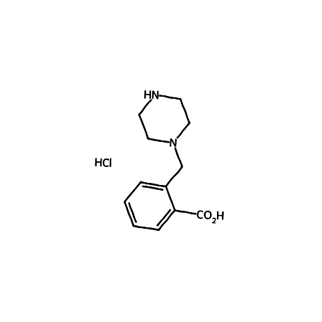 Cl.O=C(O)c1ccccc1CN1CCNCC1